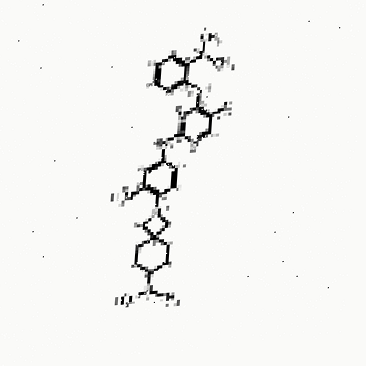 CN(C)C1CCC2(CC1)CN(c1ccc(Nc3ncc(Cl)c(Nc4ccccc4P(C)C)n3)cc1N)C2